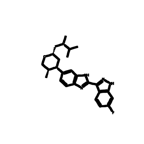 CC(C)N(C)C[C@@H]1CN(c2ccc3nc(-c4n[nH]c5cc(F)ccc45)[nH]c3c2)[C@@H](C)CO1